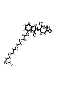 NCCOCCOCCOCCOc1cccc2c1C(=O)N(C1CCC(=O)NC1=O)C2